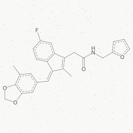 CC1=C(CC(=O)NCc2ccco2)c2cc(F)ccc2/C1=C\c1cc(C)c2c(c1)OCO2